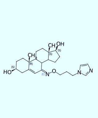 C[C@]12CC[C@H](O)CC1=C/C(=N/OCCCn1ccnc1)C1C2CC[C@@]2(C)C1CC[C@@H]2O